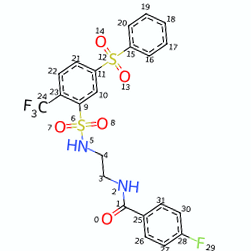 O=C(NCCNS(=O)(=O)c1cc(S(=O)(=O)c2ccccc2)ccc1C(F)(F)F)c1ccc(F)cc1